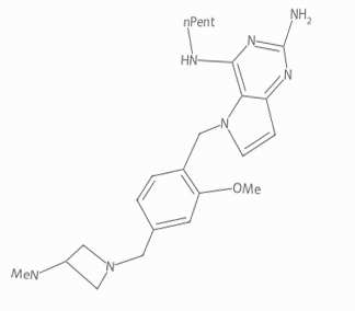 CCCCCNc1nc(N)nc2ccn(Cc3ccc(CN4CC(NC)C4)cc3OC)c12